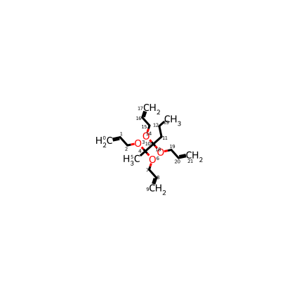 C=CCOC(C)(OCC=C)C(CCC)(OCC=C)OCC=C